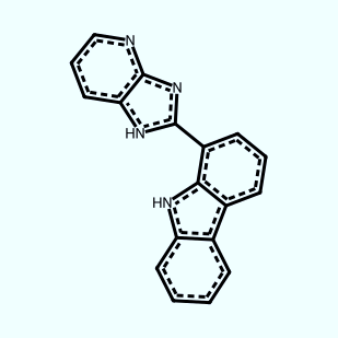 c1cnc2nc(-c3cccc4c3[nH]c3ccccc34)[nH]c2c1